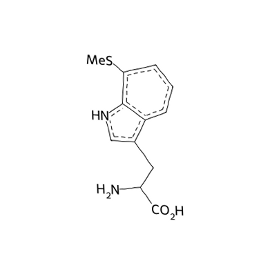 CSc1cccc2c(CC(N)C(=O)O)c[nH]c12